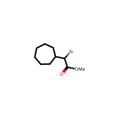 COC(=O)C(Br)C1CCCCCC1